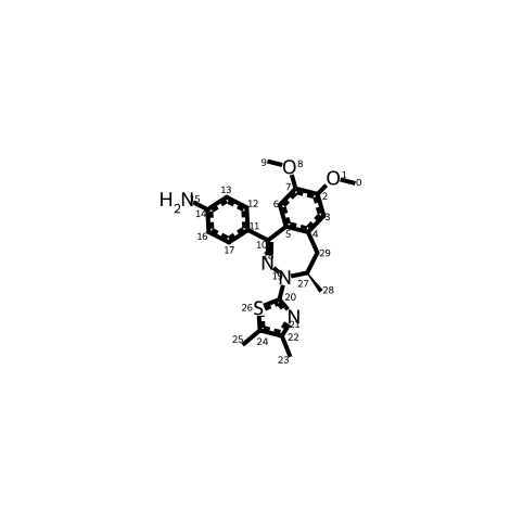 COc1cc2c(cc1OC)C(c1ccc(N)cc1)=NN(c1nc(C)c(C)s1)[C@H](C)C2